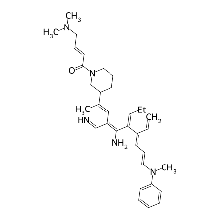 C=CC(=C\C=C\N(C)c1ccccc1)/C(=C\CC)C(/N)=C(C=N)\C=C(/C)C1CCCN(C(=O)/C=C/CN(C)C)C1